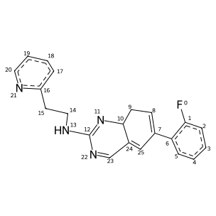 Fc1ccccc1C1=CCC2N=C(NCCc3ccccn3)N=CC2=C1